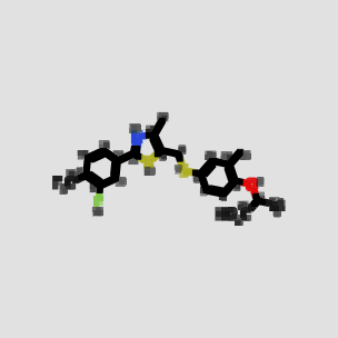 CCC(Oc1ccc(SCc2sc(-c3ccc(C(F)(F)F)c(F)c3)nc2C)cc1C)C(=O)O